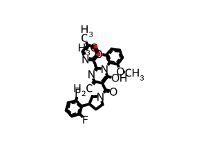 C=C1N=C(c2ccc(C)cn2)N(c2c(OC)cccc2OC)C(O)=C1C(=O)N1CCC(c2c(F)cccc2F)C1